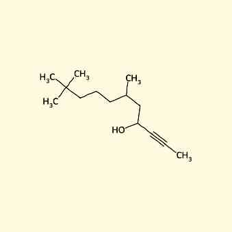 CC#CC(O)CC(C)CCCC(C)(C)C